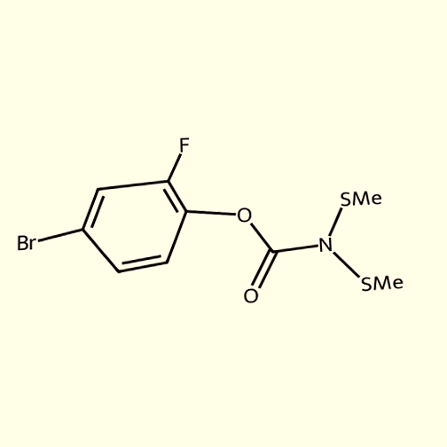 CSN(SC)C(=O)Oc1ccc(Br)cc1F